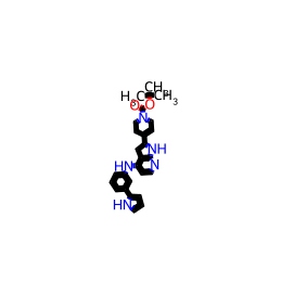 CC(C)(C)OC(=O)N1CC=C(C2Cc3c(Nc4cccc(-c5ccc[nH]5)c4)ccnc3N2)CC1